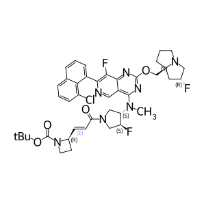 CN(c1nc(OC[C@@]23CCCN2C[C@H](F)C3)nc2c(F)c(-c3cccc4cccc(Cl)c34)ncc12)[C@H]1CN(C(=O)/C=C/[C@H]2CCN2C(=O)OC(C)(C)C)C[C@@H]1F